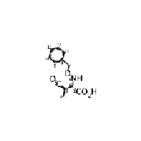 CC(=C=O)[C@H](NOCc1ccccc1)C(=O)O